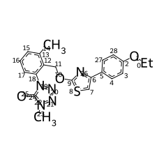 CCOc1ccc(-c2csc(OCc3c(C)cccc3-n3nnn(C)c3=O)n2)cc1